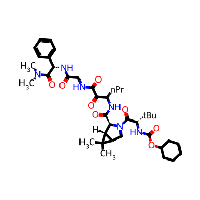 CCCC(NC(=O)[C@@H]1[C@@H]2C(CN1C(=O)[C@@H](NC(=O)OC1CCCCC1)C(C)(C)C)C2(C)C)C(=O)C(=O)NCC(=O)N[C@H](C(=O)N(C)C)c1ccccc1